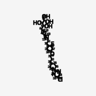 OC[C@@H](O)[C@@H](O)[C@@H](O)CN1CC2(CN(CCc3ccc(OCCCC4CCN(c5ncc(Cl)cn5)CC4)cc3F)C2)C1